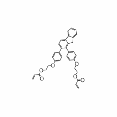 C=CC(=O)OCCOc1ccc(-c2ccc3c(c2-c2ccc(OCCOC(=O)C=C)cc2)Cc2ccccc2-3)cc1